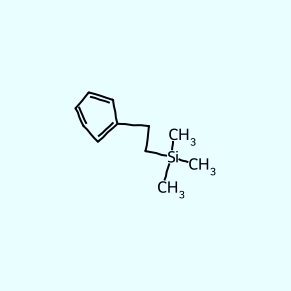 C[Si](C)(C)CCc1ccccc1